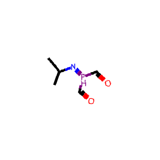 CC(C)N=[PH](C=O)C=O